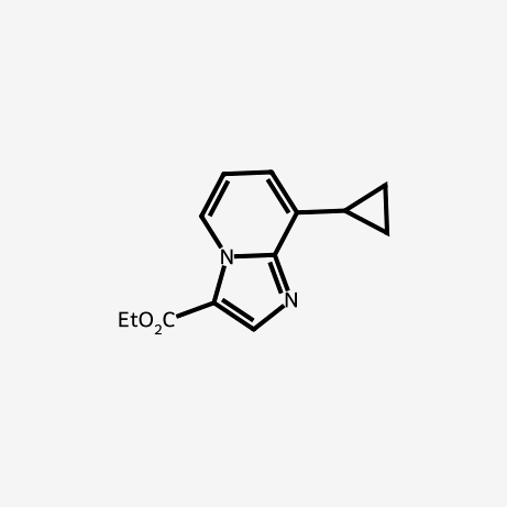 CCOC(=O)c1cnc2c(C3CC3)cccn12